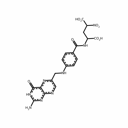 Nc1nc2ncc(CNc3ccc(C(=O)NC(CC(C(=O)O)[N+](=O)[O-])C(=O)O)cc3)nc2c(=O)[nH]1